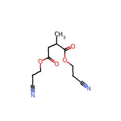 CC(CC(=O)OCCC#N)C(=O)OCCC#N